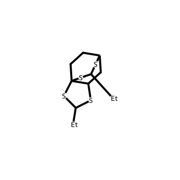 CCC1SC2CCC3(S1)SC(CC)SC3C2